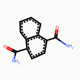 NC(=O)c1ccc(C(N)=O)c2ccccc12